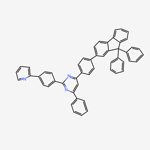 c1ccc(-c2cc(-c3ccc(-c4ccc5c(c4)C(c4ccccc4)(c4ccccc4)c4ccccc4-5)cc3)nc(-c3ccc(-c4ccccn4)cc3)n2)cc1